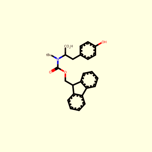 CC(C)(C)N(C(=O)OCC1c2ccccc2-c2ccccc21)C(Cc1ccc(O)cc1)C(=O)O